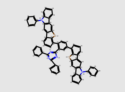 c1ccc(-c2nc(-c3ccccc3)nc(-c3cc(-c4cccc5c4sc4cc6c7ccccc7n(-c7ccccc7)c6cc45)ccc3-c3cccc4c3sc3cc5c6ccccc6n(-c6ccccc6)c5cc34)n2)cc1